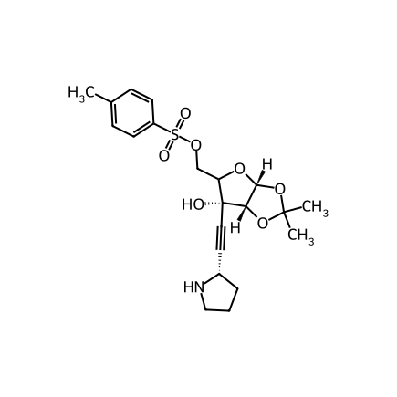 Cc1ccc(S(=O)(=O)OCC2O[C@@H]3OC(C)(C)O[C@@H]3[C@@]2(O)C#C[C@@H]2CCCN2)cc1